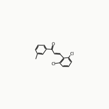 Cc1cccc(C(=O)C=Cc2c(Cl)cccc2Cl)c1